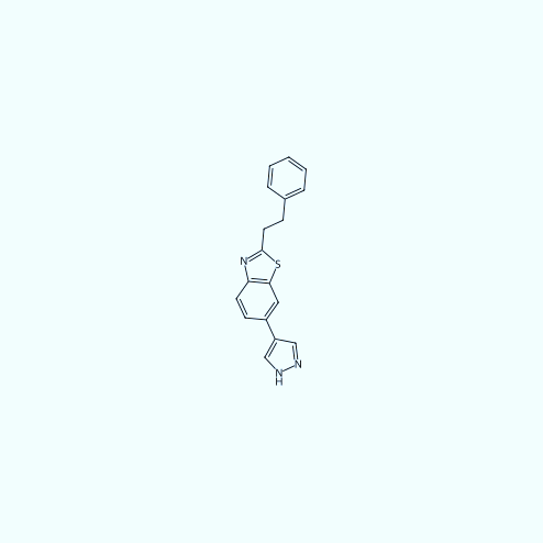 c1ccc(CCc2nc3ccc(-c4cn[nH]c4)cc3s2)cc1